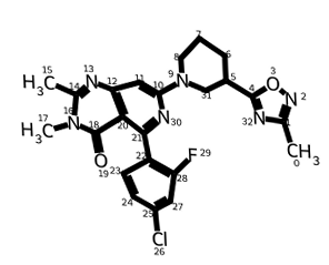 Cc1noc(C2CCCN(c3cc4nc(C)n(C)c(=O)c4c(-c4ccc(Cl)cc4F)n3)C2)n1